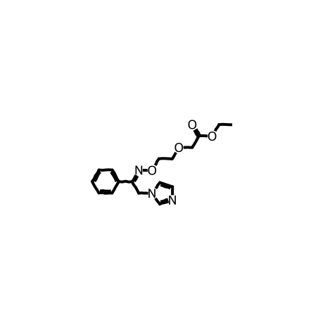 CCOC(=O)COCCON=C(Cn1ccnc1)c1ccccc1